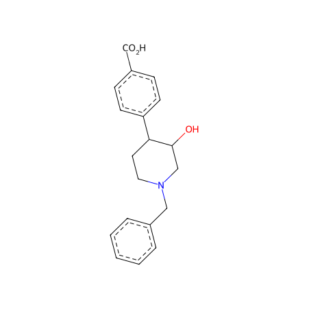 O=C(O)c1ccc(C2CCN(Cc3ccccc3)CC2O)cc1